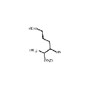 CCCCCCCCCCCCCC(CCC)C(C(=O)OCC)C(=O)OCC